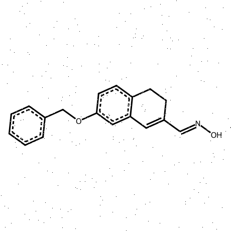 O/N=C/C1=Cc2cc(OCc3ccccc3)ccc2CC1